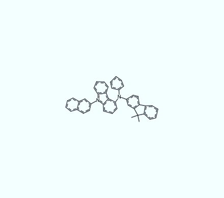 CC1(C)c2ccccc2-c2ccc(N(c3ccccc3)c3cccc4c3c3ccccc3n4-c3ccc4ccccc4c3)cc21